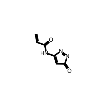 C=CC(=O)NC1=CC(=O)N=N1